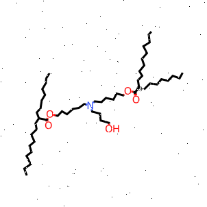 CCCCCCCCCCC(CCCCCCCC)C(=O)OCCCCCCN(CCCCO)CCCCCCOC(=O)[C@@H](CCCCCCCC)CCCCCCCCCC